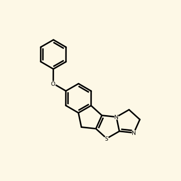 c1ccc(Oc2ccc3c(c2)CC2=C3N3CCN=C3S2)cc1